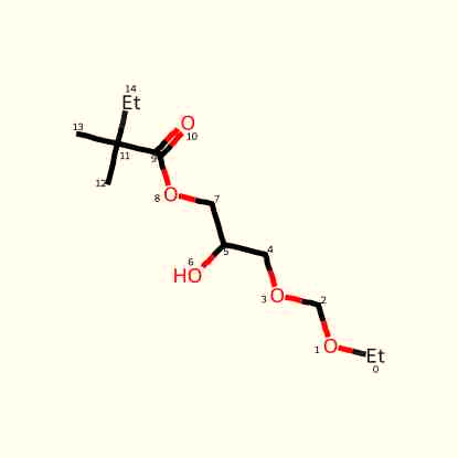 CCOCOCC(O)COC(=O)C(C)(C)CC